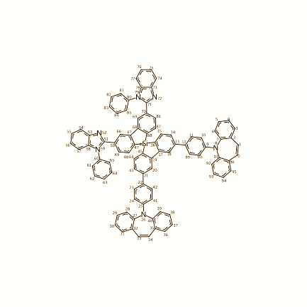 C1=Cc2ccccc2N(c2ccc(-c3ccc4c(c3)-c3cc(-c5ccc(N6c7ccccc7C=Cc7ccccc76)cc5)ccc3[Si]43c4ccc(-c5nc6ccccc6n5-c5ccccc5)cc4-c4cc(-c5nc6ccccc6n5-c5ccccc5)ccc43)cc2)c2ccccc21